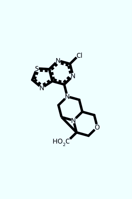 O=C(O)C12COCC3CN(c4nc(Cl)nc5scnc45)CC1N32